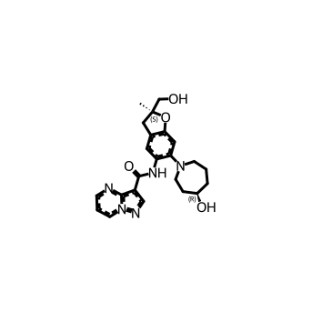 C[C@@]1(CO)Cc2cc(NC(=O)c3cnn4cccnc34)c(N3CCC[C@@H](O)CC3)cc2O1